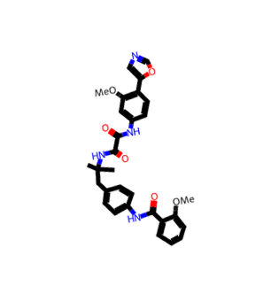 COc1ccccc1C(=O)Nc1ccc(CC(C)(C)NC(=O)C(=O)Nc2ccc(-c3cnco3)c(OC)c2)cc1